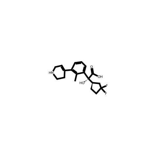 Cc1c(C2=CCNCC2)cccc1[C@@](O)(C(=O)O)[C@@H]1CCC(F)(F)C1